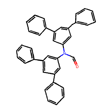 O=[C]N(c1cc(-c2ccccc2)cc(-c2ccccc2)c1)c1cc(-c2ccccc2)cc(-c2ccccc2)c1